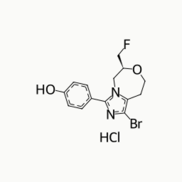 Cl.Oc1ccc(-c2nc(Br)c3n2C[C@@H](CF)OCC3)cc1